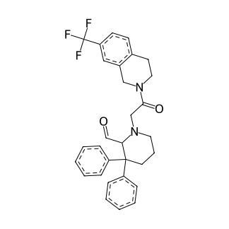 O=CC1N(CC(=O)N2CCc3ccc(C(F)(F)F)cc3C2)CCCC1(c1ccccc1)c1ccccc1